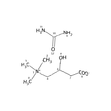 C[N+](C)(C)CC(O)CC(=O)[O-].NC(N)=O